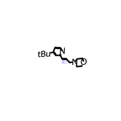 CC(C)(C)c1ccnc(/C=C/CN2CCOCC2)c1